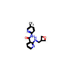 O=C(Nc1ccc(C(F)(F)F)cn1)c1cccnc1NCC1COC1